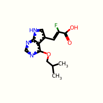 CC(C)COc1ncnc2[nH]cc(C=C(F)C(=O)O)c12